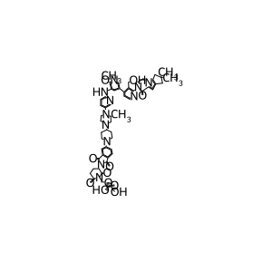 COc1ncc(-c2ccnc(N3CCn4c(cc5c4CC(C)(C)C5)C3=O)c2CO)cc1Nc1ccc(N2CCN(C3CCN(c4ccc5c(c4)C(=O)N(C4CCC(=O)N(COP(=O)(O)O)C4=O)C5=O)CC3)C[C@@H]2C)cn1